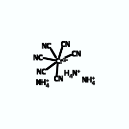 N#[C][Cr-3]([C]#N)([C]#N)([C]#N)([C]#N)[C]#N.[NH4+].[NH4+].[NH4+]